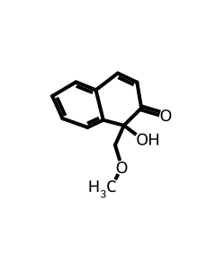 COCC1(O)C(=O)C=Cc2ccccc21